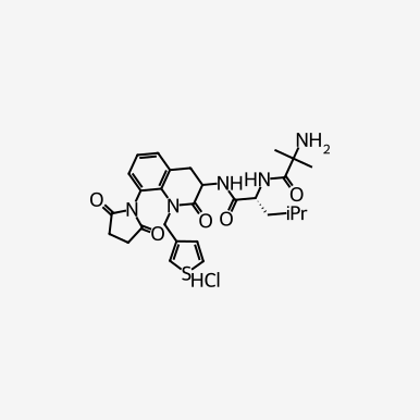 CC(C)C[C@@H](NC(=O)C(C)(C)N)C(=O)NC1Cc2cccc(N3C(=O)CCC3=O)c2N(Cc2ccsc2)C1=O.Cl